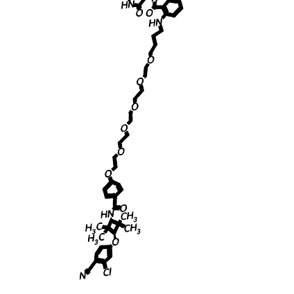 CC1(C)[C@H](NC(=O)c2ccc(OCCOCCOCCOCCOCCOCCCCNc3cccc4nnn(C5CCC(=O)NC5=O)c(=O)c34)cc2)C(C)(C)[C@H]1Oc1ccc(C#N)c(Cl)c1